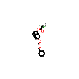 CCC(F)(F)C(=O)OC1C2CC3CC1CC(OCOCC1CCCCC1)(C3)C2